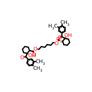 Cc1ccc(C(=O)C2(O)CCCCC2C(=O)OCCCCCCOC(=O)[C@H]2CCCC[C@]2(O)C(=O)c2ccc(C)c(C)c2)cc1C